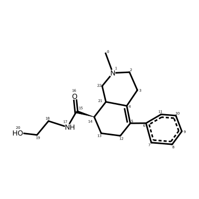 CN1CCC2=C(c3ccccc3)CC[C@@H](C(=O)NCCO)C2C1